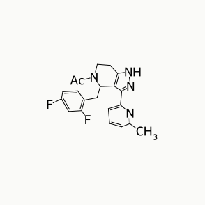 CC(=O)N1CCc2[nH]nc(-c3cccc(C)n3)c2C1Cc1ccc(F)cc1F